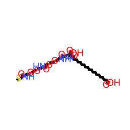 CSCC(=O)NCCOCCOCCNC(=O)COCCOCCNC(=O)CC[C@H](NC(=O)CCCCCCCCCCCCCCCCCCC(=O)O)C(=O)O